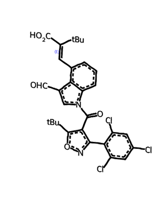 CC(C)(C)/C(=C\c1cccc2c1c(C=O)cn2C(=O)c1c(-c2c(Cl)cc(Cl)cc2Cl)noc1C(C)(C)C)C(=O)O